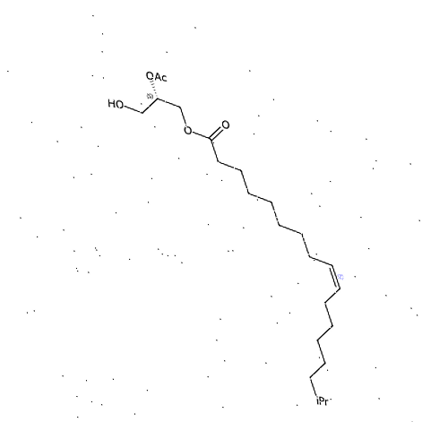 CC(=O)O[C@@H](CO)COC(=O)CCCCCCC/C=C\CCCCCC(C)C